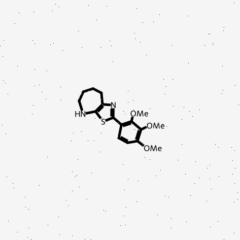 COc1ccc(-c2nc3c(s2)NCCCC3)c(OC)c1OC